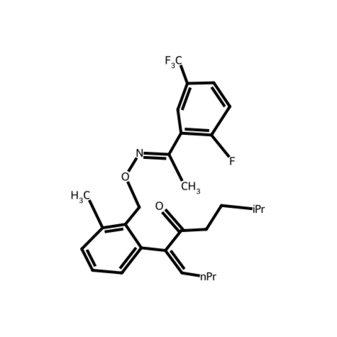 CCC/C=C(\C(=O)CCC(C)C)c1cccc(C)c1CO/N=C(\C)c1cc(C(F)(F)F)ccc1F